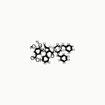 COc1cc(C(=O)O)cc(-n2c(C)cc(C(=O)N3CCN(Cc4ccccc4)C[C@H]3Cc3ccccc3)c2-c2ccccc2)c1OC